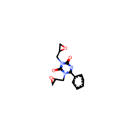 O=c1nc(-c2ccccc2)n(CC2CO2)c(=O)n1CC1CO1